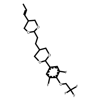 CC=CC1COC(CCC2COC(c3cc(F)c(OCC(F)(F)F)c(F)c3)OC2)OC1